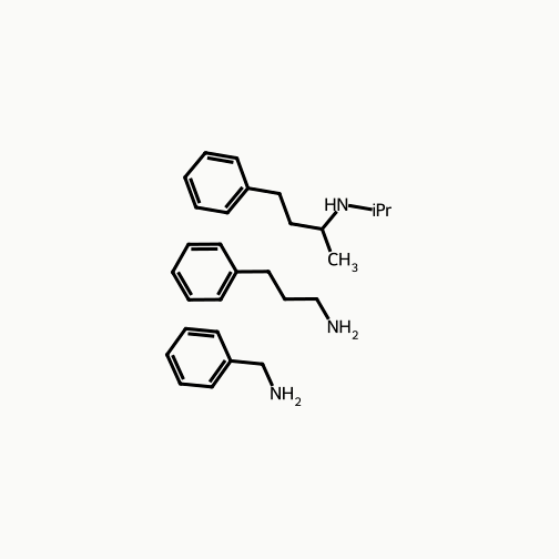 CC(C)NC(C)CCc1ccccc1.NCCCc1ccccc1.NCc1ccccc1